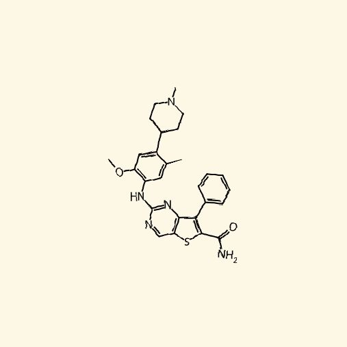 COc1cc(C2CCN(C)CC2)c(C)cc1Nc1ncc2sc(C(N)=O)c(-c3ccccc3)c2n1